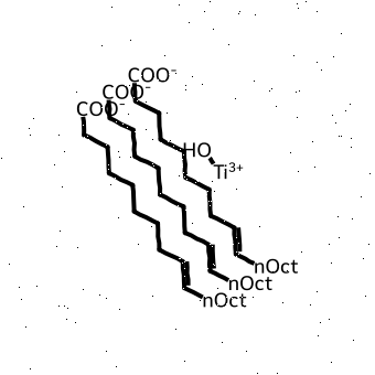 CCCCCCCCC=CCCCCCCCC(=O)[O-].CCCCCCCCC=CCCCCCCCC(=O)[O-].CCCCCCCCC=CCCCCCCCC(=O)[O-].[OH][Ti+3]